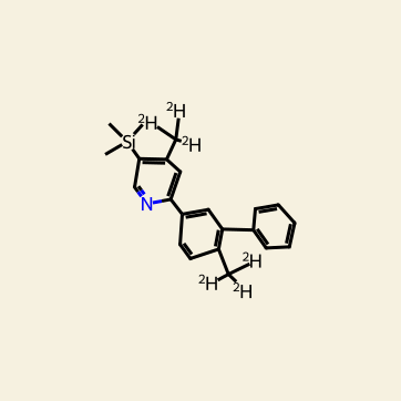 [2H]C([2H])([2H])c1ccc(-c2cc(C([2H])([2H])[2H])c([Si](C)(C)C)cn2)cc1-c1ccccc1